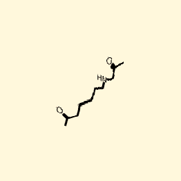 CC(=O)CCCCCNCC(C)=O